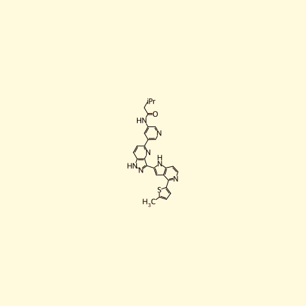 Cc1ccc(-c2nccc3[nH]c(-c4n[nH]c5ccc(-c6cncc(NC(=O)CC(C)C)c6)nc45)cc23)s1